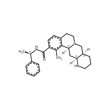 Cc1c(C(=O)N[C@H](C)c2ccccc2)ccc2c1[C@@H]1C[C@@H]3NCCC[C@@H]3CN1CC2